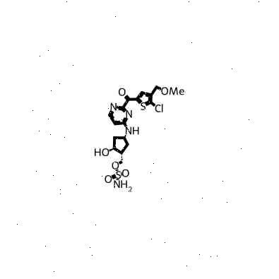 COCc1cc(C(=O)c2nccc(N[C@@H]3C[C@H](COS(N)(=O)=O)[C@@H](O)C3)n2)sc1Cl